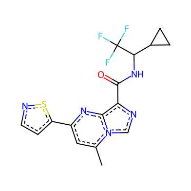 Cc1cc(-c2ccns2)nc2c(C(=O)NC(C3CC3)C(F)(F)F)ncn12